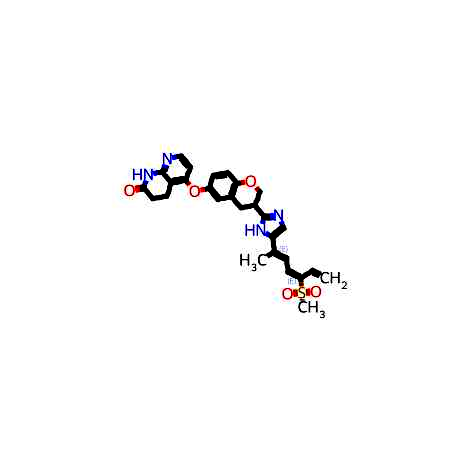 C=C/C(=C\C=C(/C)c1cnc(C2COc3ccc(Oc4ccnc5c4CCC(=O)N5)cc3C2)[nH]1)S(C)(=O)=O